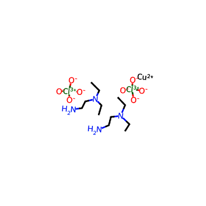 CCN(CC)CCN.CCN(CC)CCN.[Cu+2].[O-][Cl+3]([O-])([O-])[O-].[O-][Cl+3]([O-])([O-])[O-]